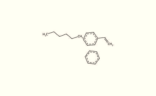 C=Cc1ccccc1.CCCCCC.c1ccccc1